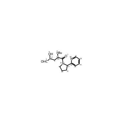 CCCC[C@H](CN(O)C=O)C(=O)N1CCCC1c1ccccn1